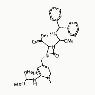 CCCCCCCC(NC1=CC(C[C@H]2C(=O)N(C(NC(c3ccccc3)c3ccccc3)OC)C2C(=O)CCC)=CCN1C)OC